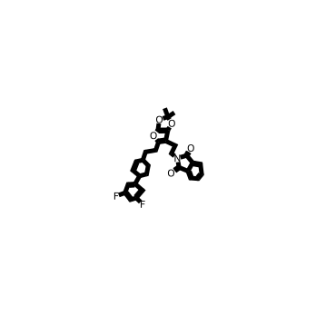 CC1(C)Oc2oc(CCC3C=CC(c4cc(F)cc(F)c4)CC3)c(CCN3C(=O)c4ccccc4C3=O)c2O1